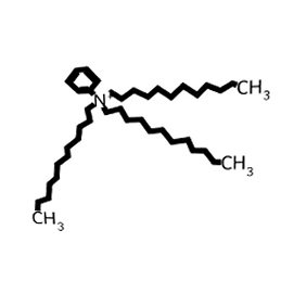 CCCCCCCCCCCC[N+](CCCCCCCCCCCC)(CCCCCCCCCCCC)c1ccccc1